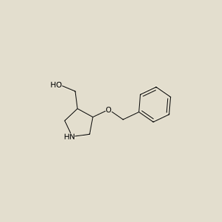 OCC1CNCC1OCc1ccccc1